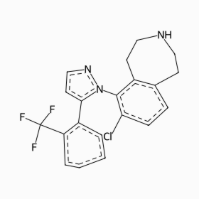 FC(F)(F)c1ccccc1-c1ccnn1-c1c(Cl)ccc2c1CCNCC2